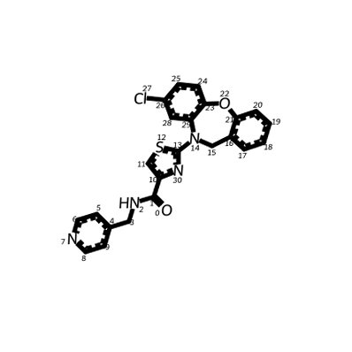 O=C(NCc1ccncc1)c1csc(N2Cc3ccccc3Oc3ccc(Cl)cc32)n1